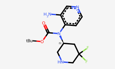 CC(C)(C)OC(=O)N(c1ccncc1N)[C@@H]1CNCC(F)(F)C1